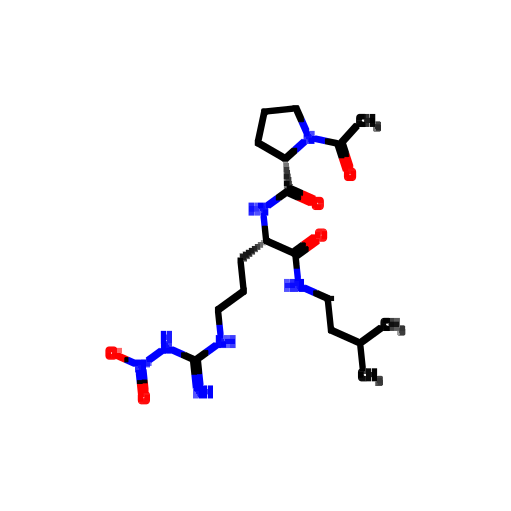 CC(=O)N1CCC[C@H]1C(=O)N[C@@H](CCCNC(=N)N[N+](=O)[O-])C(=O)N[CH]CC(C)C